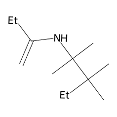 C=C(CC)NC(C)(C)C(C)(C)CC